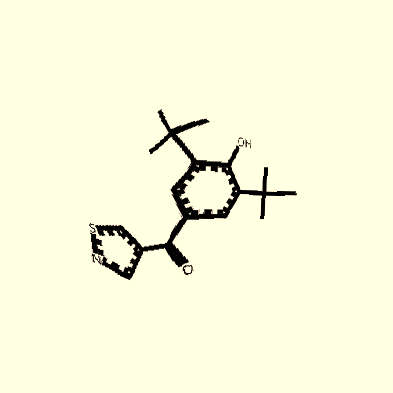 CC(C)(C)c1cc(C(=O)c2cnsc2)cc(C(C)(C)C)c1O